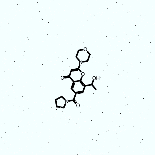 CC(O)c1cc(C(=O)N2CCCC2)cc2c(=O)cc(N3CCOCC3)oc12